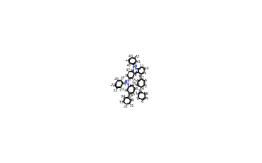 c1ccc(-c2ccc(-c3cccc4c3c3cc(N(c5ccccc5)c5cccc(-c6ccccc6)c5)ccc3n4-c3ccccc3)cc2)cc1